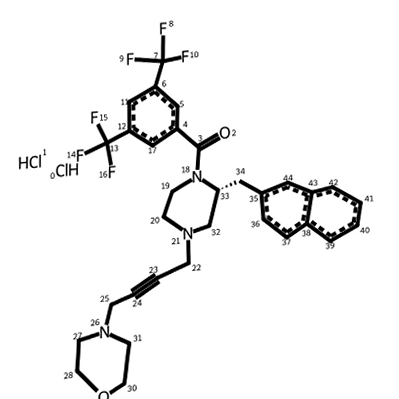 Cl.Cl.O=C(c1cc(C(F)(F)F)cc(C(F)(F)F)c1)N1CCN(CC#CCN2CCOCC2)C[C@H]1Cc1ccc2ccccc2c1